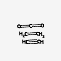 C#C.C=C.O=C=O